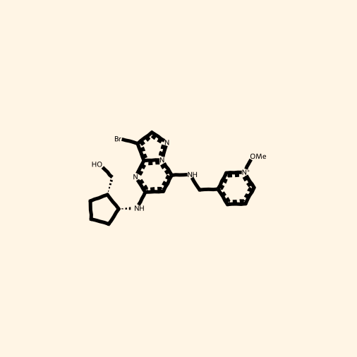 CO[n+]1cccc(CNc2cc(N[C@@H]3CCC[C@@H]3CO)nc3c(Br)cnn23)c1